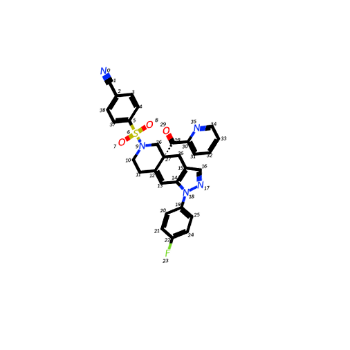 N#Cc1ccc(S(=O)(=O)N2CCC3=Cc4c(cnn4-c4ccc(F)cc4)C[C@]3(C(=O)c3ccccn3)C2)cc1